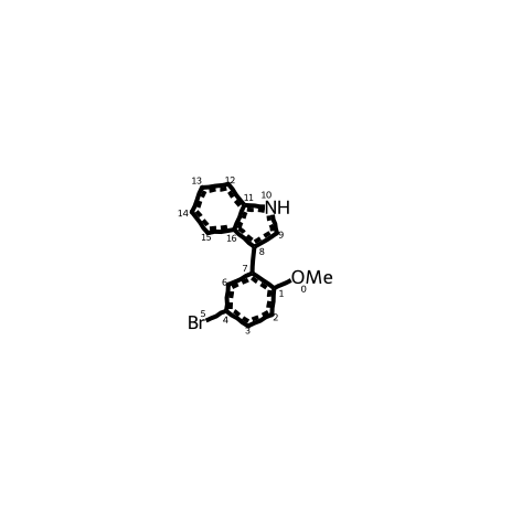 COc1ccc(Br)cc1-c1c[nH]c2ccccc12